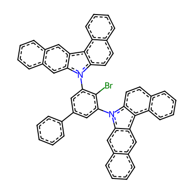 Brc1c(-n2c3cc4ccccc4cc3c3c4ccccc4ccc32)cc(-c2ccccc2)cc1-n1c2cc3ccccc3cc2c2c3ccccc3ccc21